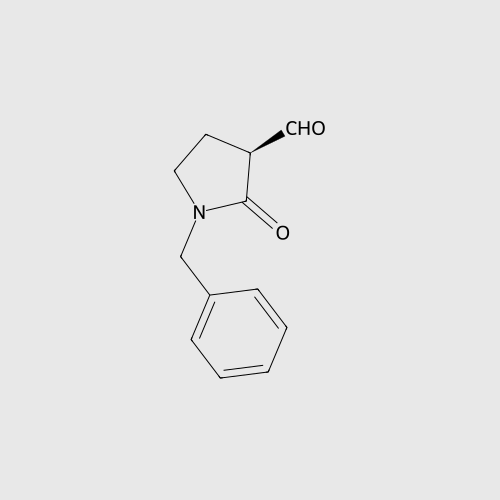 O=C[C@@H]1CCN(Cc2ccccc2)C1=O